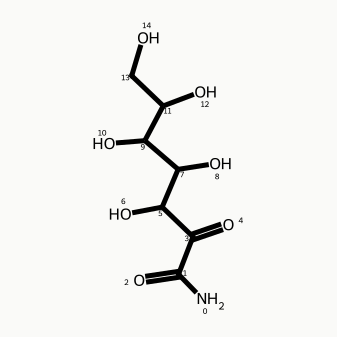 NC(=O)C(=O)C(O)C(O)C(O)C(O)CO